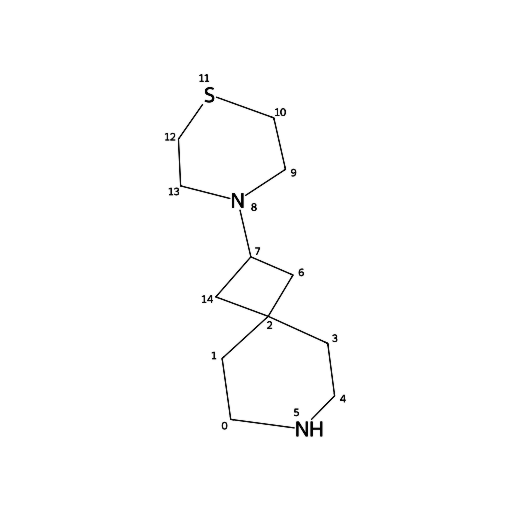 C1CC2(CCN1)CC(N1CCSCC1)C2